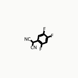 N#CC(C#N)c1cc(F)c(F)cc1F